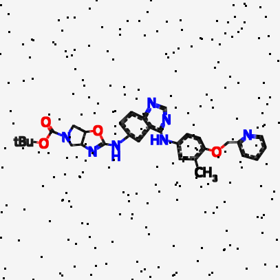 Cc1cc(Nc2ncnc3ccc(NC4=NC5CN(C(=O)OC(C)(C)C)CC5O4)cc23)ccc1OCc1ccccn1